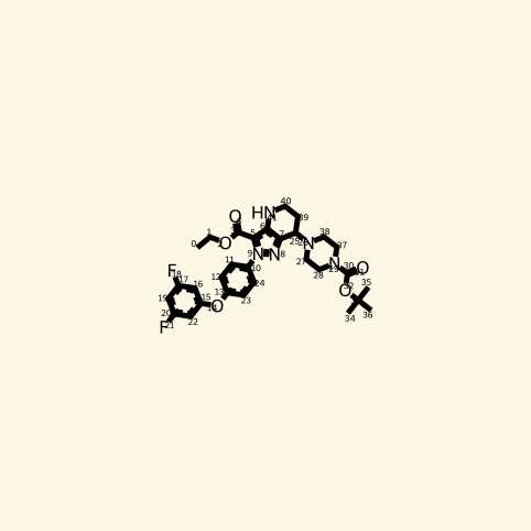 CCOC(=O)c1c2c(nn1-c1ccc(Oc3cc(F)cc(F)c3)cc1)C(N1CCN(C(=O)OC(C)(C)C)CC1)CCN2